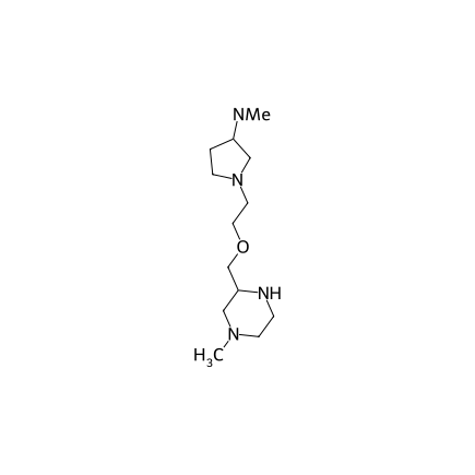 CNC1CCN(CCOCC2CN(C)CCN2)C1